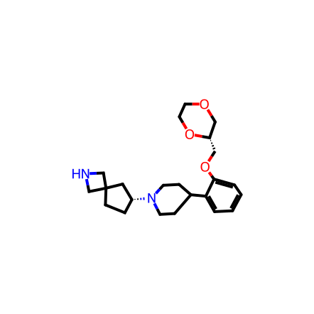 c1ccc(C2CCN([C@@H]3CCC4(CNC4)C3)CC2)c(OC[C@H]2COCCO2)c1